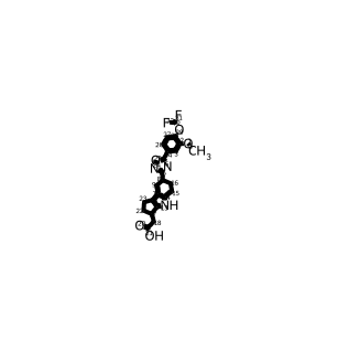 COc1cc(-c2nc(C3C=c4c5c([nH]c4=CC3)C(CC(=O)O)CC5)no2)ccc1OC(F)F